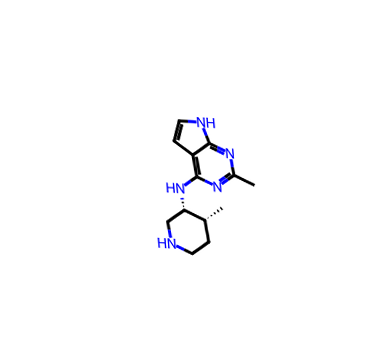 Cc1nc(N[C@H]2CNCC[C@H]2C)c2cc[nH]c2n1